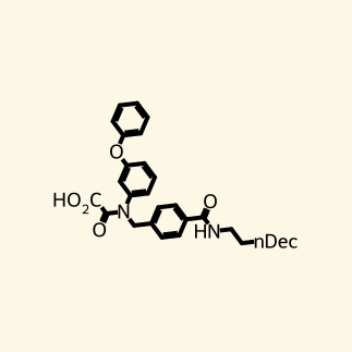 CCCCCCCCCCCCNC(=O)c1ccc(CN(C(=O)C(=O)O)c2cccc(Oc3ccccc3)c2)cc1